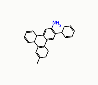 CC1=CC2=C(CC1)c1cc(C3C=CC=CC3)c(N)cc1C1C=CC=CC21